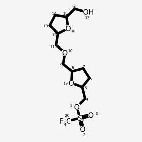 O=S(=O)(OCC1CCC(COCC2CCC(CO)O2)O1)C(F)(F)F